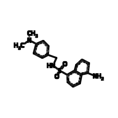 CN(C)c1ccc(CNS(=O)(=O)c2cccc3c(N)cccc23)cc1